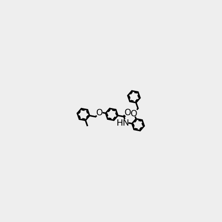 Cc1ccccc1COc1ccc(C(=O)Nc2ccccc2OCc2ccccc2)cc1